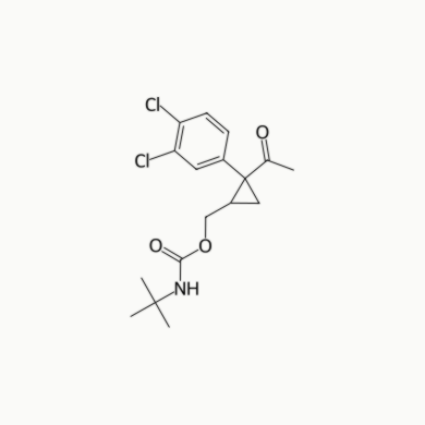 CC(=O)C1(c2ccc(Cl)c(Cl)c2)CC1COC(=O)NC(C)(C)C